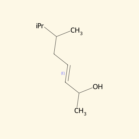 CC(O)/C=C/CC(C)C(C)C